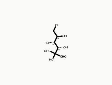 O=CC(O)(C=O)[C@@H](O)[C@H](O)[C@H](O)CO